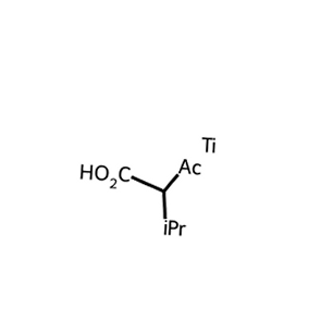 CC(=O)C(C(=O)O)C(C)C.[Ti]